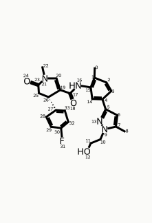 Cc1ccc(-c2cc(C)n(CCO)n2)cc1NC(=O)C1=CN(C)C(=O)C[C@H]1c1ccc(F)cc1